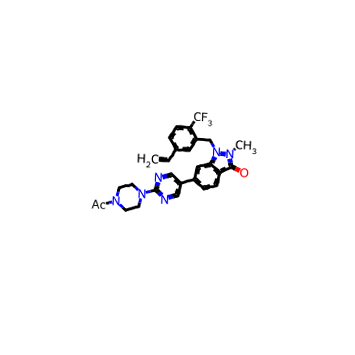 C=Cc1ccc(C(F)(F)F)c(Cn2c3cc(-c4cnc(N5CCN(C(C)=O)CC5)nc4)ccc3c(=O)n2C)c1